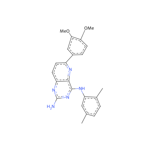 COc1ccc(-c2ccc3nc(N)nc(Nc4cc(C)ccc4C)c3n2)cc1OC